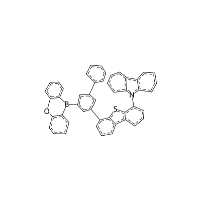 c1ccc(-c2cc(B3c4ccccc4Oc4ccccc43)cc(-c3cccc4c3sc3c(-n5c6ccccc6c6ccccc65)cccc34)c2)cc1